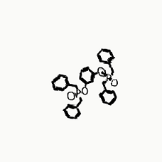 O=P(Cc1ccccc1)(Cc1ccccc1)Oc1cccc(OP(=O)(Cc2ccccc2)Cc2ccccc2)c1